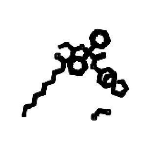 CCCCCCCCCC(=O)OC(CC)OC(C(=O)OC1CC2CCC(C1)[N+]21CCCC1)(c1ccccc1)c1ccccc1.O=C[O-]